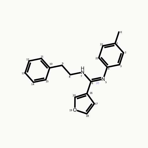 Cc1ccc(/N=C(\NCCc2ccccc2)c2ccoc2)cc1